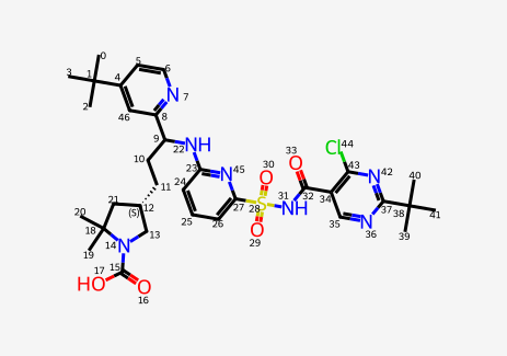 CC(C)(C)c1ccnc(C(CC[C@@H]2CN(C(=O)O)C(C)(C)C2)Nc2cccc(S(=O)(=O)NC(=O)c3cnc(C(C)(C)C)nc3Cl)n2)c1